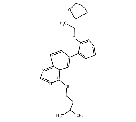 C1COCO1.CCOc1ccccc1-c1ccc2ncnc(NCCC(C)C)c2c1